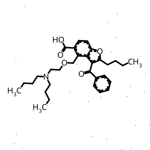 CCCCc1oc2ccc(C(=O)O)c(COCCN(CCCC)CCCC)c2c1C(=O)c1ccccc1